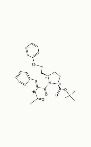 CC(=O)NC(=Cc1ccccc1)C(=O)N1[C@@H](CC[Se]c2ccccc2)CC[C@H]1C(=O)OC(C)(C)C